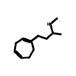 CNC(C)CCC1=CCC=CCC1